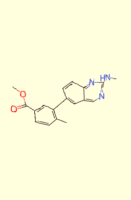 CNc1ncc2cc(-c3cc(C(=O)OC)ccc3C)ccc2n1